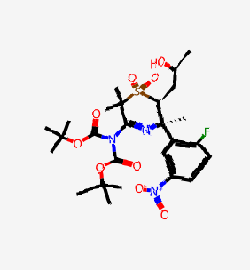 C[C@H](O)C[C@H]1[C@@](C)(c2cc([N+](=O)[O-])ccc2F)N=C(N(C(=O)OC(C)(C)C)C(=O)OC(C)(C)C)C(C)(C)S1(=O)=O